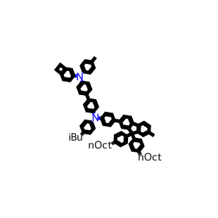 CCCCCCCCc1ccc(C2(c3ccc(CCCCCCCC)cc3)c3cc(C)ccc3-c3ccc(-c4ccc(N(c5ccc(-c6ccc(N(c7ccc(C)cc7)c7ccc8c(c7)CC8)cc6)cc5)c5ccc(C(C)CC)cc5)cc4)cc32)cc1